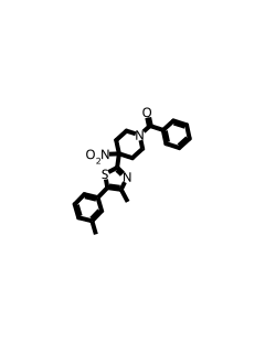 Cc1cccc(-c2sc(C3([N+](=O)[O-])CCN(C(=O)c4ccccc4)CC3)nc2C)c1